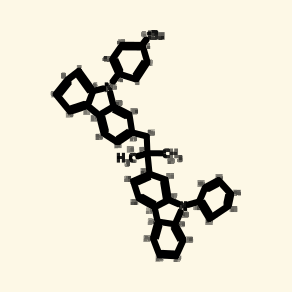 CC(C)(C)c1ccc(-n2c3ccccc3c3ccc(CC(C)(C)c4ccc5c6ccccc6n(-c6ccccc6)c5c4)cc32)cc1